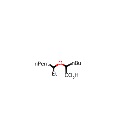 CCCCCC(CC)OC(CCCC)C(=O)O